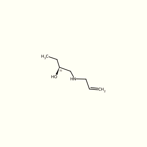 C=CCNC[C@@H](O)CC